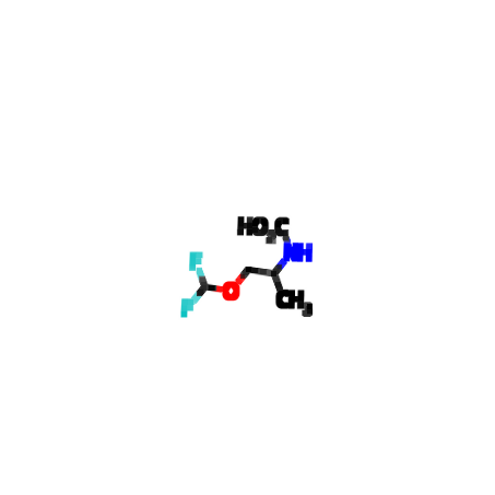 CC(COC(F)F)NC(=O)O